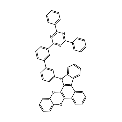 c1ccc(-c2nc(-c3ccccc3)nc(-c3cccc(-c4cccc(-n5c6ccccc6c6c7ccccc7c7c(c65)Oc5ccccc5O7)c4)c3)n2)cc1